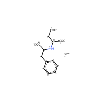 O=C([O-])C[C@H](NC(Cc1ccccc1)C(=O)[O-])C(=O)[O-].[Fe+3]